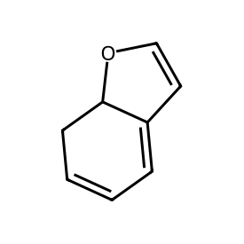 C1=CCC2OC=CC2=C1